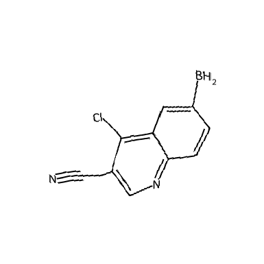 Bc1ccc2ncc(C#N)c(Cl)c2c1